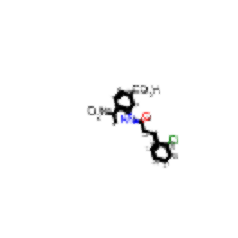 CC(c1ccc(C(=O)O)cc1NC(=O)CCc1ccccc1Cl)[N+](=O)[O-]